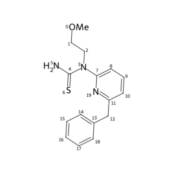 COCCN(C(N)=S)c1cccc(Cc2ccccc2)n1